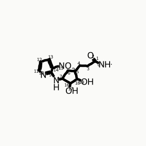 [NH]C(=O)CCC1CC(Nc2ncccc2[N+](=O)[O-])C(O)C1O